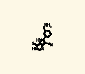 N#Cc1c(-c2cccc(CN)c2)[nH]c2c(=S)[nH]cnc12